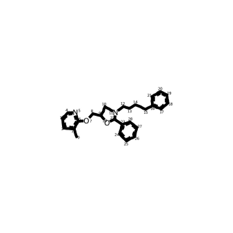 Cc1cccnc1OCC1CN(CCCCc2ccccc2)C(c2ccccc2)O1